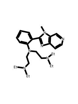 CCN(CC)CCN(CCN(CC)CC)c1ccccc1-c1nc2ccncc2n1C